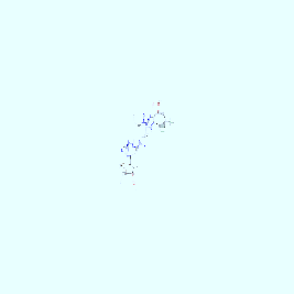 CCOc1cc(-c2cc(NCCn3c(CC)nc4c(OC)cc(F)c(F)c43)ncn2)sc1C